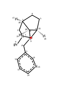 CC(C)N1C[C@H]2CC[C@@H](C1)[C@H]2OCc1cccnc1